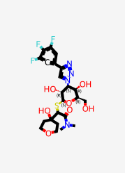 CN(C)C(=O)C(S[C@@H]1O[C@H](CO)[C@H](O)[C@H](n2cc(-c3cc(F)c(F)c(F)c3)nn2)[C@H]1O)C1(O)CCOCC1